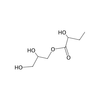 CCC(O)C(=O)OCC(O)CO